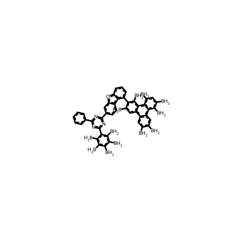 Bc1cc2c(cc1B)c1c(B)c(B)cc(B)c1c1c(B)c(-c3cccc4oc5cc(-c6nc(-c7ccccc7)nc(-c7c(B)c(B)c(B)c(B)c7B)n6)ccc5c34)c(B)cc21